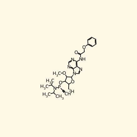 [2H]CC1OC(n2cnc3c(NC(=O)COc4ccccc4)ncnc32)C(OC)C1OP(C#C)N(C(C)C)C(C)C